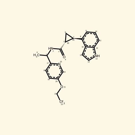 CC(NC(=O)[C@@H]1C[C@H]1c1cccc2[nH]ccc12)c1ccc(OCC(F)(F)F)cn1